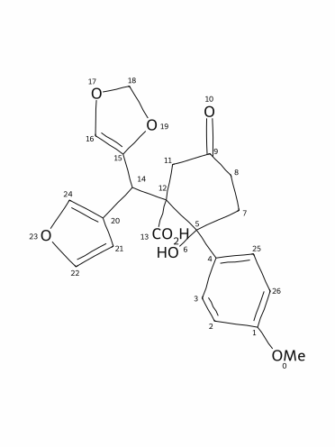 COc1ccc(C2(O)CCC(=O)CC2(C(=O)O)C(C2=COCO2)c2ccoc2)cc1